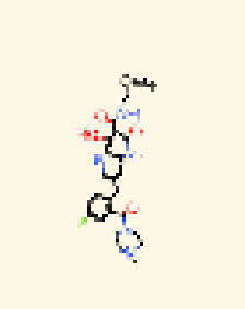 COCCNC(=O)c1c(O)c2ncc(Cc3ccc(F)cc3C(=O)N3CCN(C)CC3)cc2n(C)c1=O